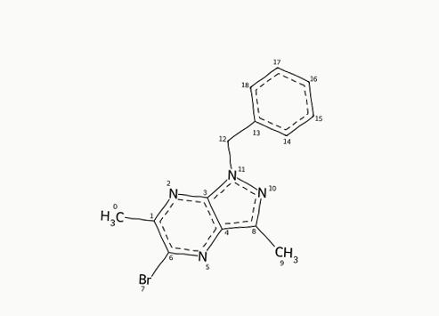 Cc1nc2c(nc1Br)c(C)nn2Cc1ccccc1